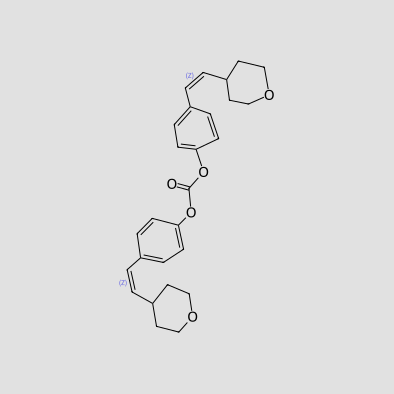 O=C(Oc1ccc(/C=C\C2CCOCC2)cc1)Oc1ccc(/C=C\C2CCOCC2)cc1